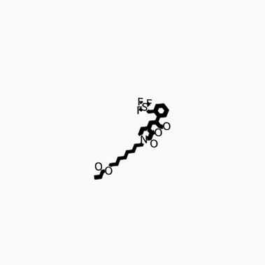 C=CC(=O)OCCCCCCCCn1ccc2cc(-c3ccccc3CS(F)(F)F)c(=O)oc2c1=O